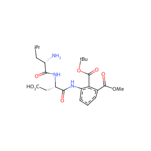 COC(=O)c1cccc(NC(=O)[C@H](CC(=O)O)NC(=O)[C@@H](N)CC(C)C)c1C(=O)OC(C)(C)C